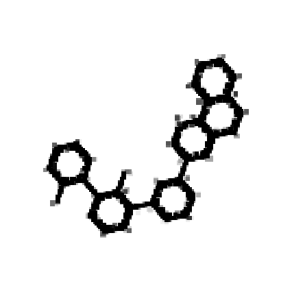 Cc1ccccc1-c1cccc(-c2cccc(-c3cnc4c(ccc5ccccc54)c3)c2)c1C